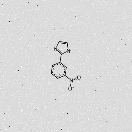 O=[N+]([O-])c1cccc(C2=NC=C[N]2)c1